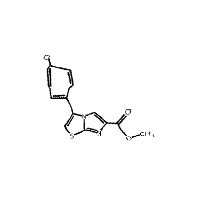 COC(=O)c1cn2c(-c3ccc(Cl)cc3)csc2n1